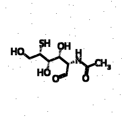 CC(=O)N[C@H](C=O)[C@@H](O)[C@H](O)[C@@H](S)CO